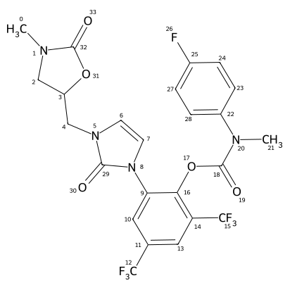 CN1CC(Cn2ccn(-c3cc(C(F)(F)F)cc(C(F)(F)F)c3OC(=O)N(C)c3ccc(F)cc3)c2=O)OC1=O